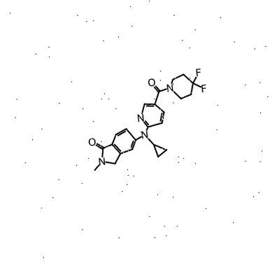 CN1Cc2cc(N(c3ccc(C(=O)N4CCC(F)(F)CC4)cn3)C3CC3)ccc2C1=O